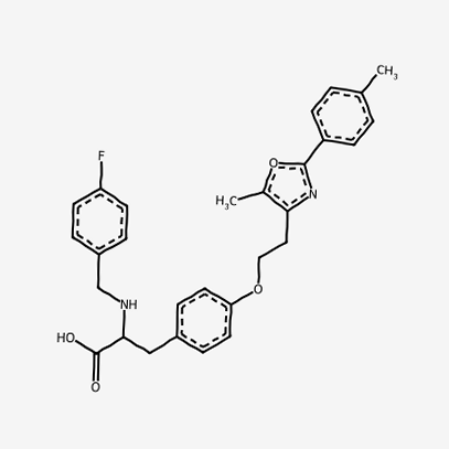 Cc1ccc(-c2nc(CCOc3ccc(CC(NCc4ccc(F)cc4)C(=O)O)cc3)c(C)o2)cc1